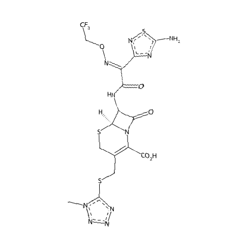 Cn1nnnc1SCC1=C(C(=O)O)N2C(=O)C(NC(=O)C(=NOCC(F)(F)F)c3nsc(N)n3)[C@@H]2SC1